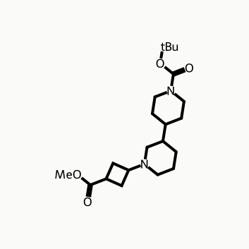 COC(=O)C1CC(N2CCCC(C3CCN(C(=O)OC(C)(C)C)CC3)C2)C1